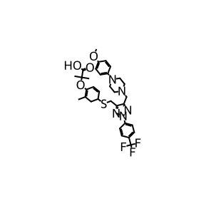 COc1ccc(N2CCN(Cc3nn(-c4ccc(C(F)(F)F)cc4)nc3CSC3C=CC(OC(C)(C)C(=O)O)=C(C)C3)CC2)cc1